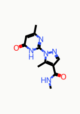 CNC(=O)c1cnn(-c2nc(C)cc(=O)[nH]2)c1C